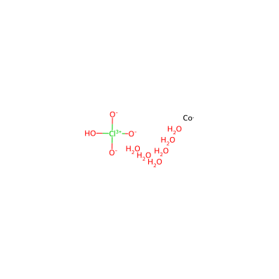 O.O.O.O.O.O.[Co].[O-][Cl+3]([O-])([O-])O